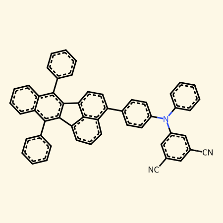 N#Cc1cc(C#N)cc(N(c2ccccc2)c2ccc(-c3ccc4c5c(cccc35)-c3c-4c(-c4ccccc4)c4ccccc4c3-c3ccccc3)cc2)c1